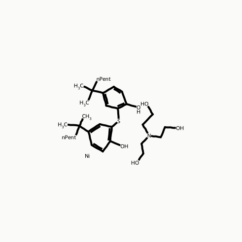 CCCCCC(C)(C)c1ccc(O)c(Sc2cc(C(C)(C)CCCCC)ccc2O)c1.OCCN(CCO)CCO.[Ni]